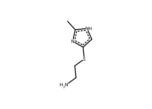 Cc1nc(SCCN)c[nH]1